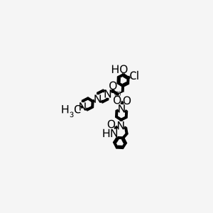 CN1CCC(N2CCN(C(=O)[C@@H](Cc3ccc(O)c(Cl)c3)OC(=O)N3CCC(N4CCc5ccccc5NC4=O)CC3)CC2)CC1